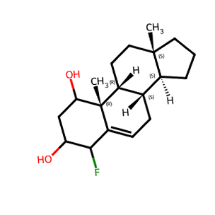 C[C@@]12CCC[C@H]1[C@@H]1CC=C3C(F)C(O)CC(O)[C@]3(C)[C@@H]1CC2